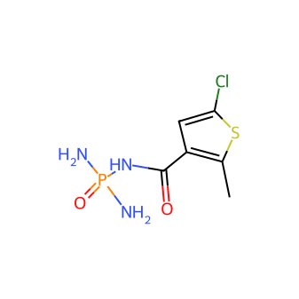 Cc1sc(Cl)cc1C(=O)NP(N)(N)=O